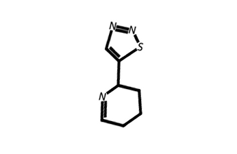 C1=NC(c2cnns2)CCC1